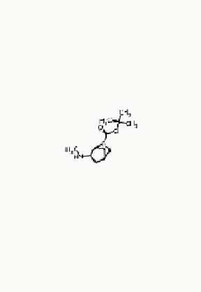 CNC1CC2CC1N(C(=O)OC(C)(C)C)C2